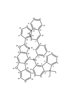 CC1(C)c2ccccc2-c2c(N(c3cccc(-c4ccc5ccccc5c4)c3)c3c4nc(-c5ccccc5)oc4cc4oc5ccccc5c34)cccc21